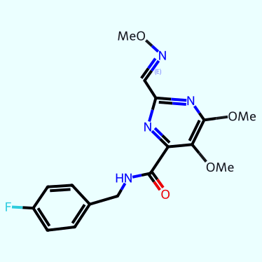 CO/N=C/c1nc(OC)c(OC)c(C(=O)NCc2ccc(F)cc2)n1